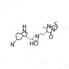 Cc1nc2sccn2c(=O)c1CCN1CCC(Cc2c[nH]c3ccc(C#N)cc23)C1.Cl